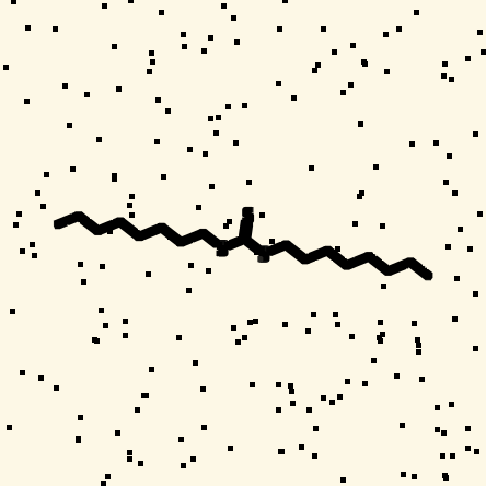 CCCCCCCCSC(=S)SCCCCCCCC